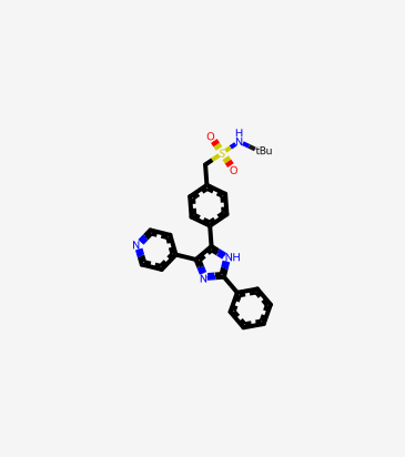 CC(C)(C)NS(=O)(=O)Cc1ccc(-c2[nH]c(-c3ccccc3)nc2-c2ccncc2)cc1